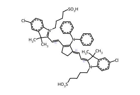 CC1(C)C(/C=C/C2=C(N(c3ccccc3)c3ccccc3)C(=C/C=C3/N(CCCCS(=O)(=O)O)c4ccc(Cl)cc4C3(C)C)/CC2)=[N+](CCCCS(=O)(=O)O)c2ccc(Cl)cc21